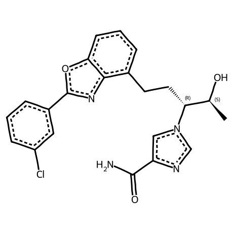 C[C@H](O)[C@@H](CCc1cccc2oc(-c3cccc(Cl)c3)nc12)n1cnc(C(N)=O)c1